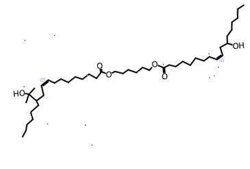 CCCCCCC(O)C/C=C\CCCCCCCC(=O)OCCCCCCOC(=O)CCCCCCC/C=C\CC(CCCCCC)C(C)(C)O